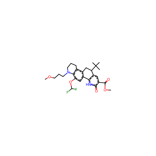 COCCCN1CCCc2c3c(cc(OC(F)F)c21)-c1[nH]c(=O)c(C(=O)OC)cc1C(C(C)(C)C)C3